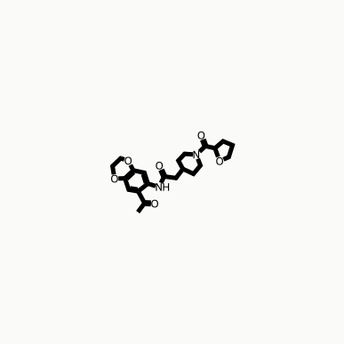 CC(=O)c1cc2c(cc1NC(=O)CC1CCN(C(=O)C3CCCO3)CC1)OCCO2